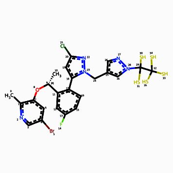 Cc1ncc(Br)cc1O[C@H](C)c1cc(F)ccc1-c1cc(Cl)nn1Cc1cnn(C(S)(S)C(S)(S)S)c1